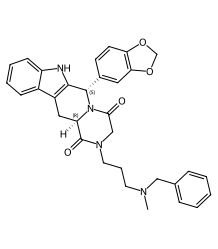 CN(CCCN1CC(=O)N2[C@@H](c3ccc4c(c3)OCO4)c3[nH]c4ccccc4c3C[C@@H]2C1=O)Cc1ccccc1